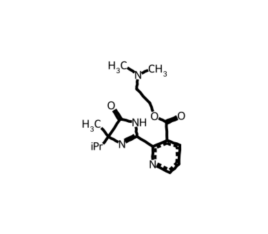 CC(C)C1(C)N=C(c2ncccc2C(=O)OCCN(C)C)NC1=O